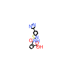 O=C(O)C1C2C=CC(C2)C1C(=O)Nc1nc2ccc(-c3cncnc3)cc2s1